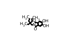 CCCC(CC)(CCC)CN1C(=O)c2cc(O)c(O)cc2C1=O